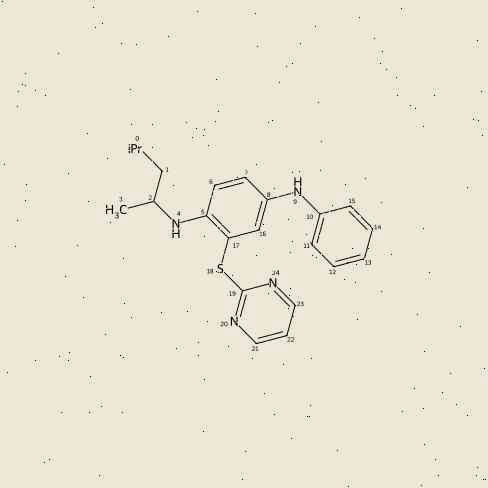 CC(C)CC(C)Nc1ccc(Nc2ccccc2)cc1Sc1ncccn1